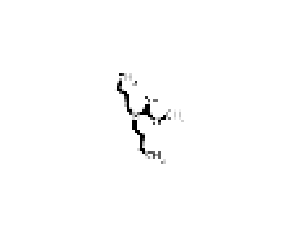 CCCCN(CCCC)C(=N)OC